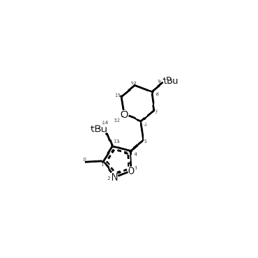 Cc1noc(CC2CC(C(C)(C)C)CCO2)c1C(C)(C)C